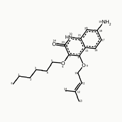 CCCCCCOc1c(OCC=C(C)C)c2ccc(N)cc2[nH]c1=O